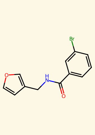 O=C(NCc1ccoc1)c1cccc(Br)c1